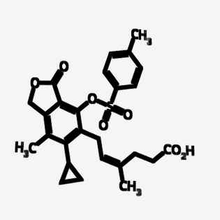 CC(=CCc1c(OS(=O)(=O)c2ccc(C)cc2)c2c(c(C)c1C1CC1)COC2=O)CCC(=O)O